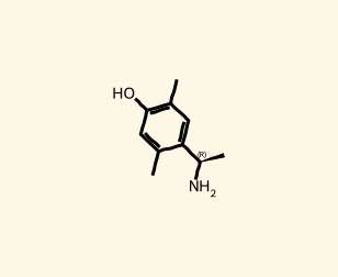 Cc1cc([C@@H](C)N)c(C)cc1O